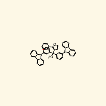 OC(c1cccc(-n2c3ccccc3c3ccccc32)c1)(c1cccc(-n2c3ccccc3c3ccccc32)c1)c1ccoc1-c1ccccc1